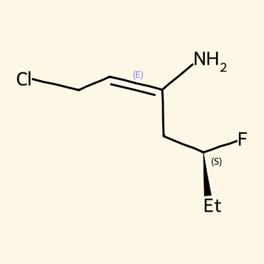 CC[C@H](F)C/C(N)=C\CCl